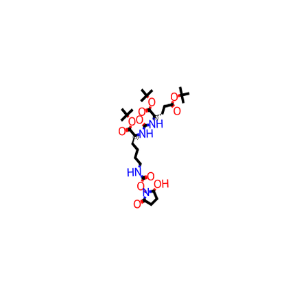 CC(C)(C)OC(=O)CC[C@H](NC(=O)N[C@@H](CCCCNC(=O)ON1C(=O)CCC1O)C(=O)OC(C)(C)C)C(=O)OC(C)(C)C